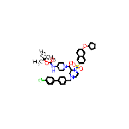 CC(C)(C)OC(=O)NC1CCN(C(=O)C2CN(Cc3ccc(-c4ccc(Cl)cc4)cc3)CCN2S(=O)(=O)c2ccc3cc(OC4CCCC4)ccc3c2)CC1